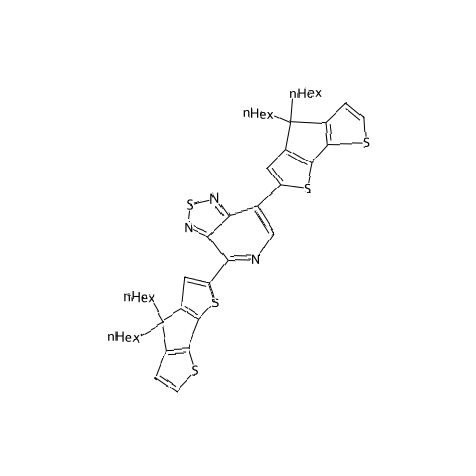 CCCCCCC1(CCCCCC)c2ccsc2-c2sc(-c3cnc(-c4cc5c(s4)-c4sccc4C5(CCCCCC)CCCCCC)c4nsnc34)cc21